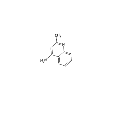 Cc1cc(N)c2c[c]ccc2n1